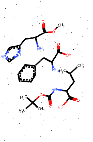 CC(C)CC(NC(=O)OC(C)(C)C)C(=O)O.COC(=O)C(N)Cc1c[nH]cn1.NC(Cc1ccccc1)C(=O)O